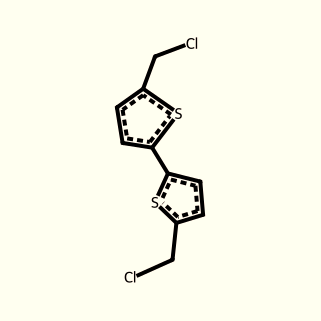 ClCc1ccc(-c2ccc(CCl)s2)s1